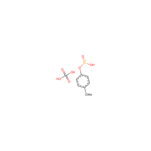 COc1ccc(O[PH](=O)O)cc1.O=[Se](=O)(O)O